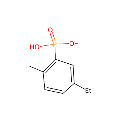 CCc1ccc(C)c(P(=O)(O)O)c1